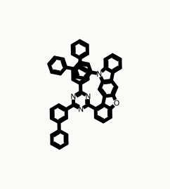 c1ccc(-c2ccc(-c3nc(-c4cccc(-c5ccccc5)c4)nc(-c4cccc5oc6cc7c8ccccc8n(-c8ccc(-c9ccccc9)cc8)c7cc6c45)n3)cc2)cc1